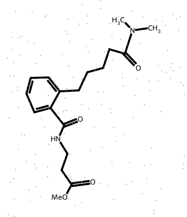 COC(=O)CCNC(=O)c1ccccc1CCCCC(=O)N(C)C